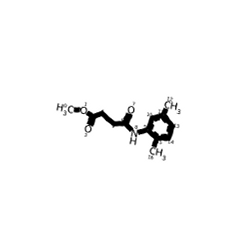 COC(=O)CCC(=O)Nc1cc(C)ccc1C